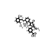 CC1=C(C2=CC=CC(CCc3c(C)cccc3C)C2O)C(=O)N2N(N)[N+]12c1cccc(C(=O)O)c1